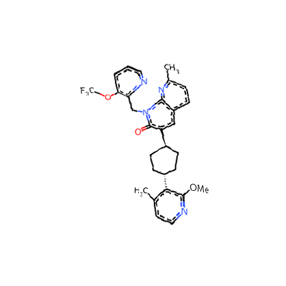 COc1nccc(C)c1[C@H]1CC[C@H](c2cc3ccc(C)nc3n(Cc3ncccc3OC(F)(F)F)c2=O)CC1